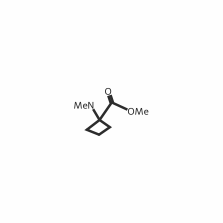 CNC1(C(=O)OC)CCC1